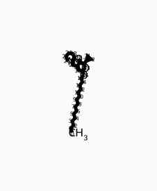 CCCCCCCCCCCCCCCCOC1C=C(CN2CCCCC2)C(=O)C(C2CC2)O1